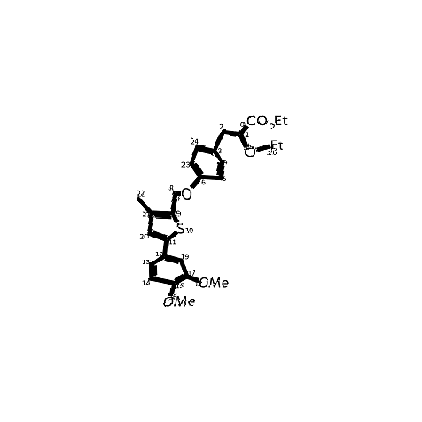 CCOC(=O)C(Cc1ccc(OCc2sc(-c3ccc(OC)c(OC)c3)cc2C)cc1)OCC